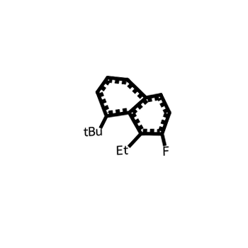 CCc1c(F)ccc2cccc(C(C)(C)C)c12